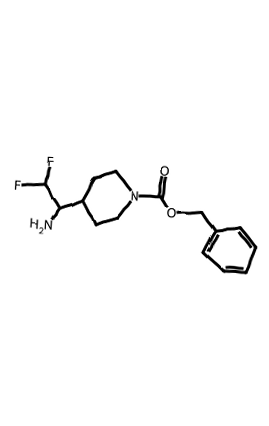 NC(C(F)F)C1CCN(C(=O)OCc2ccccc2)CC1